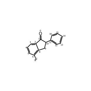 O=C1c2cccc(F)c2CC1c1ccccc1